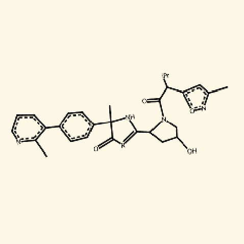 Cc1cc(C(C(=O)N2CC(O)CC2C2=NC(=O)C(C)(c3ccc(-c4cccnc4C)cc3)N2)C(C)C)on1